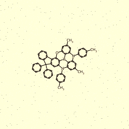 Cc1ccc(N2c3cc(C)cc4c3B3c5c2cc(C)cc5N(c2ccc(C)cc2)c2cc5c(c(c23)O4)-c2ccccc2C5(c2ccccc2)c2ccccc2)cc1